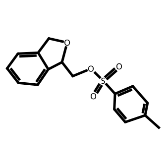 Cc1ccc(S(=O)(=O)OCC2OCc3ccccc32)cc1